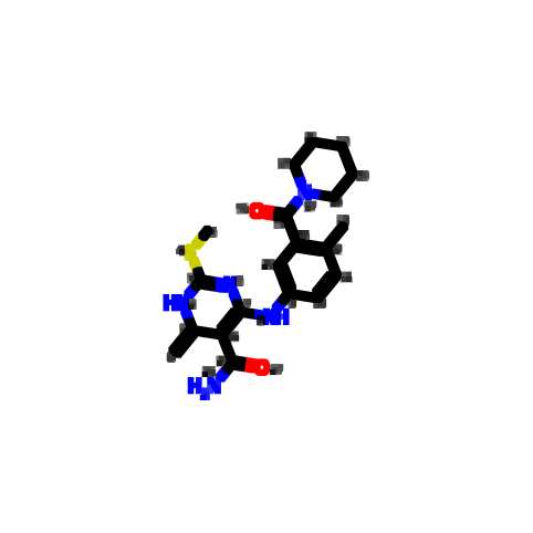 C=C1NC(SC)=NC(Nc2ccc(C)c(C(=O)N3CCCCC3)c2)=C1C(N)=O